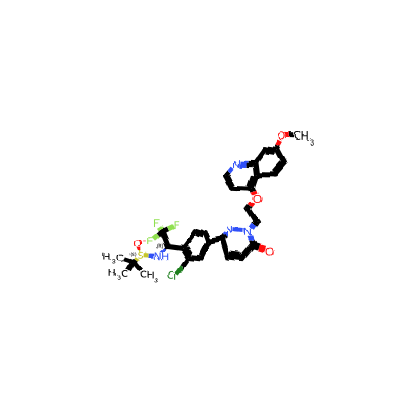 COc1ccc2c(OCCn3nc(-c4ccc([C@@H](N[S@+]([O-])C(C)(C)C)C(F)(F)F)c(Cl)c4)ccc3=O)ccnc2c1